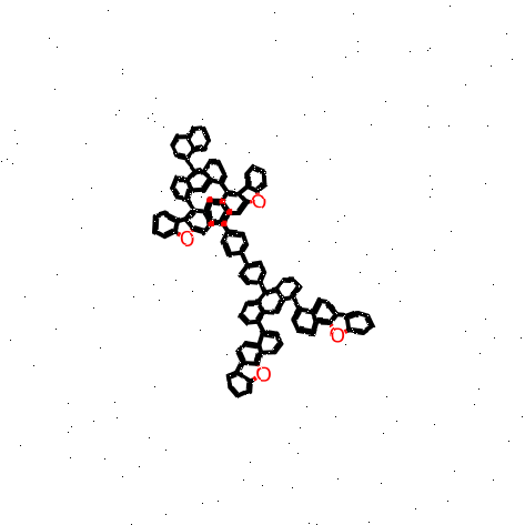 c1ccc2c(-c3c4cccc(-c5c6ccccc6cc6oc7ccccc7c56)c4cc4c(-c5c6cccc(-c7ccc(-c8ccc(-c9c%10cccc(-c%11cccc%12c%11ccc%11c%13ccccc%13oc%12%11)c%10cc%10c(-c%11cccc%12c%11ccc%11c%13ccccc%13oc%12%11)cccc9%10)cc8)cc7)c6cc6oc7ccccc7c56)cccc34)cccc2c1